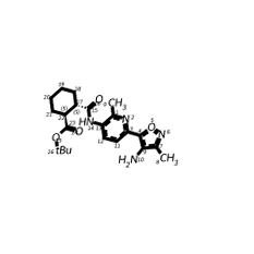 Cc1nc(-c2onc(C)c2N)ccc1NC(=O)[C@H]1CCCC[C@@H]1C(=O)OC(C)(C)C